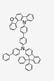 c1ccc(-c2ccc(N(c3ccc(-c4ccc(-n5c6ccccc6c6ccc7oc8ccccc8c7c65)cc4)cc3)c3ccc4c(c3)C(c3ccccc3)(c3ccccc3)c3ccccc3-4)cc2)cc1